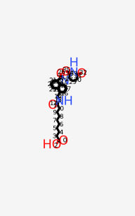 O=C(O)CCCCCCCCC(=O)NCc1ccc2c3c(cccc13)C(=O)N2C1CCC(=O)NC1=O